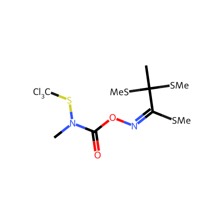 CSC(=NOC(=O)N(C)SC(Cl)(Cl)Cl)C(C)(SC)SC